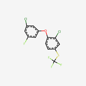 Fc1cc(Cl)cc(Oc2ccc(SC(F)(F)F)cc2Cl)c1